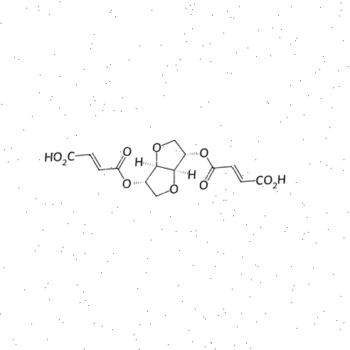 O=C(O)/C=C/C(=O)O[C@H]1CO[C@H]2[C@@H]1OC[C@@H]2OC(=O)/C=C/C(=O)O